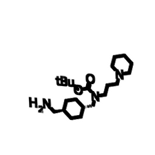 CC(C)(C)OC(=O)N(CCCN1CCCCC1)C[C@H]1CC[C@H](CN)CC1